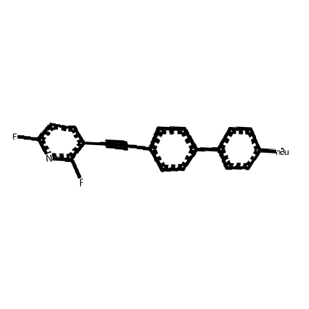 CCCCc1ccc(-c2ccc(C#Cc3ccc(F)nc3F)cc2)cc1